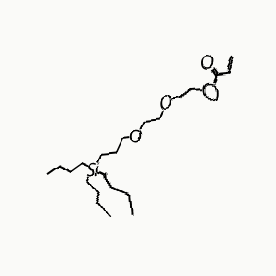 C=CC(=O)OCCOCCOCCC[Si](CCCC)(CCCC)CCCC